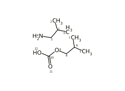 CC(C)CN.CC(C)COC(=O)O